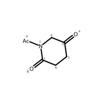 CC(=O)N1CC(=O)CCC1=O